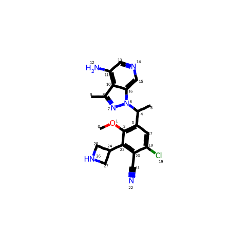 COc1c(C(C)n2nc(C)c3c(N)cncc32)cc(Cl)c(C#N)c1C1CNC1